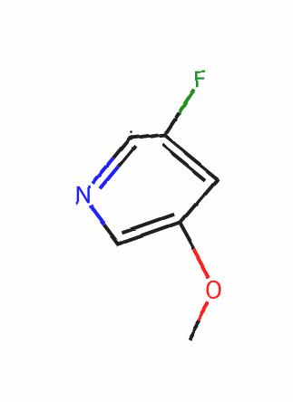 COc1cn[c]c(F)c1